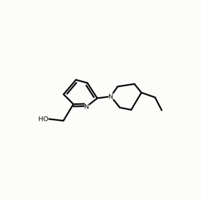 CCC1CCN(c2cccc(CO)n2)CC1